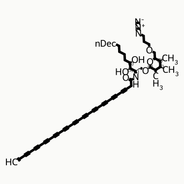 C#CC#CC#CC#CC#CC#CC#CC#CC#CC#CC#CC#CCC(=O)N[C@@H](CO[C@H]1OC(COCCCN=[N+]=[N-])[C@H](C)[C@H](C)C1C)[C@H](O)[C@H](O)CCCCCCCCCCCCCC